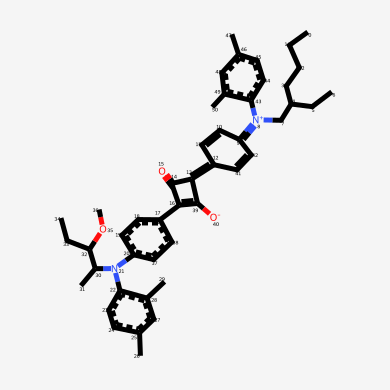 CCCCC(CC)C[N+](=C1C=CC(=C2C(=O)C(c3ccc(N(c4ccc(C)cc4C)C(C)C(CC)OC)cc3)=C2[O-])C=C1)c1ccc(C)cc1C